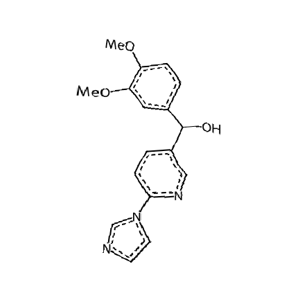 COc1ccc(C(O)c2ccc(-n3ccnc3)nc2)cc1OC